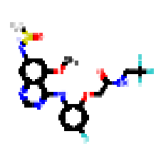 COc1cc(/N=[SH](/C)=O)cc2ncnc(Nc3ccc(F)cc3OCC(=O)NCC(F)(F)F)c12